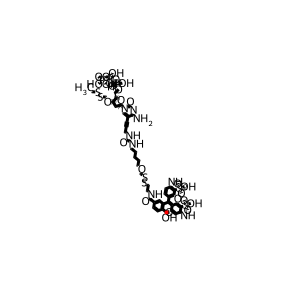 CCSSCO[C@@H]1C[C@H](n2cc(C#CCNC(=O)NCCCCCOCSSCCNC(=O)c3ccc(C(=O)O)c(-c4c5ccc(=N)c(S(=O)(=O)O)c-5oc5c(S(=O)(=O)O)c(N)ccc45)c3)c(N)nc2=O)O[C@@H]1COP(=O)(O)O[PH](O)(O)OP(=O)(O)O